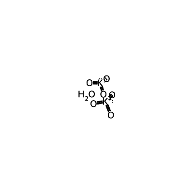 O.[O]=[K+](=[O])=[O].[O]=[K+](=[O])=[O]